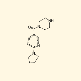 O=C(c1ccc(N2CCCC2)nc1)N1CCNCC1